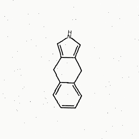 c1ccc2c(c1)Cc1c[nH]cc1C2